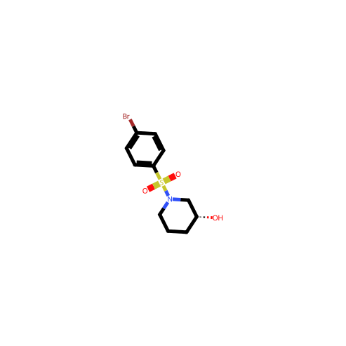 O=S(=O)(c1ccc(Br)cc1)N1CCC[C@@H](O)C1